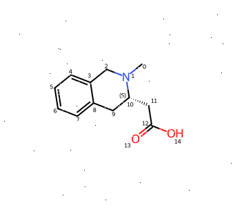 CN1Cc2ccccc2C[C@H]1CC(=O)O